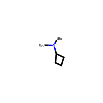 CC(C)(C)N(C1CCC1)C(C)(C)C